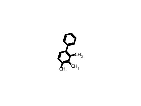 Cc1ccc(-c2ccccc2)c(C)c1C